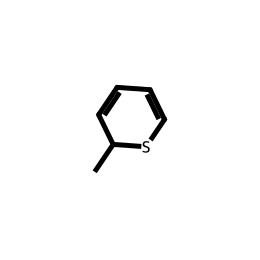 CC1C=CC=CS1